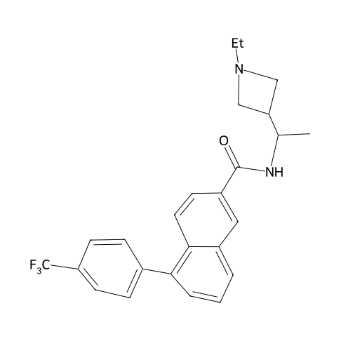 CCN1CC(C(C)NC(=O)c2ccc3c(-c4ccc(C(F)(F)F)cc4)cccc3c2)C1